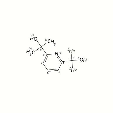 [2H]C([2H])(O)c1cccc(C(C)(C)O)n1